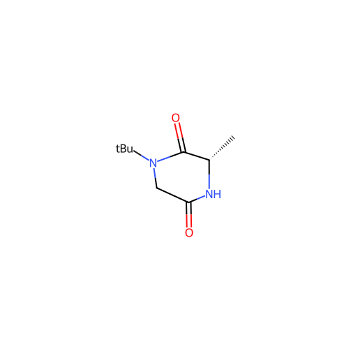 C[C@@H]1NC(=O)CN(C(C)(C)C)C1=O